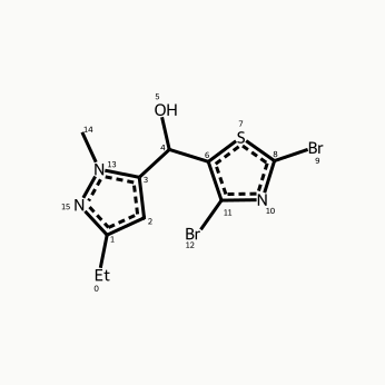 CCc1cc(C(O)c2sc(Br)nc2Br)n(C)n1